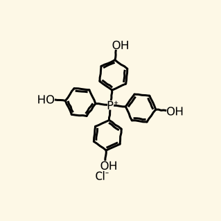 Oc1ccc([P+](c2ccc(O)cc2)(c2ccc(O)cc2)c2ccc(O)cc2)cc1.[Cl-]